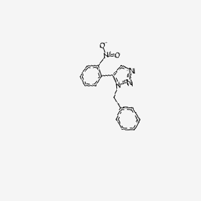 O=[N+]([O-])c1ccccc1-c1cnnn1Cc1ccccc1